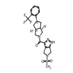 CS(=O)(=O)N1Cc2[nH]nc(C(=O)N3C[C@H]4C[C@@H](c5ccccc5C(F)(F)F)C[C@H]4C3)c2C1